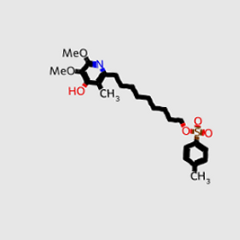 COc1nc(CCCCCCCCCOS(=O)(=O)c2ccc(C)cc2)c(C)c(O)c1OC